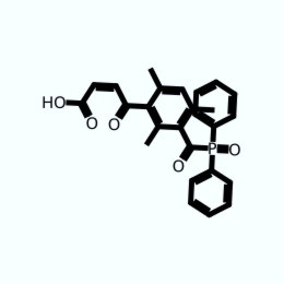 Cc1cc(C)c(C(=O)P(=O)(c2ccccc2)c2ccccc2)c(C)c1C(=O)/C=C\C(=O)O